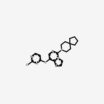 Clc1nccc(Sc2cnc(N3CCC4(CCCC4)CC3)n3ccnc23)n1